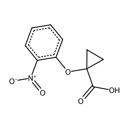 O=C(O)C1(Oc2ccccc2[N+](=O)[O-])CC1